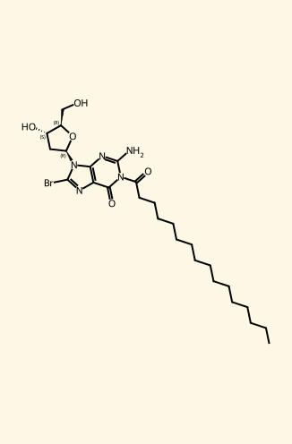 CCCCCCCCCCCCCCCC(=O)n1c(N)nc2c(nc(Br)n2[C@H]2C[C@H](O)[C@@H](CO)O2)c1=O